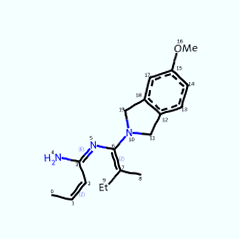 C\C=C/C(N)=N\C(=C(\C)CC)N1Cc2ccc(OC)cc2C1